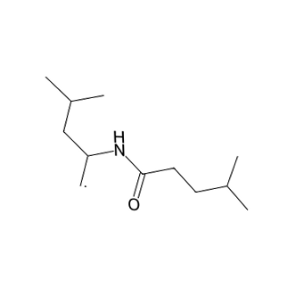 [CH2]C(CC(C)C)NC(=O)CCC(C)C